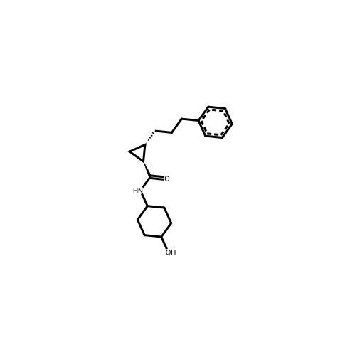 O=C(NC1CCC(O)CC1)[C@H]1C[C@@H]1CCCc1ccccc1